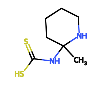 CC1(NC(=S)S)CCCCN1